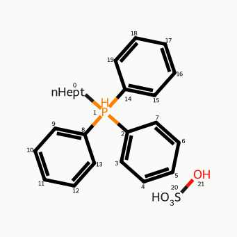 CCCCCCC[PH](c1ccccc1)(c1ccccc1)c1ccccc1.O=S(=O)(O)O